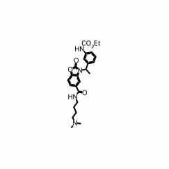 CCOC(=O)Nc1cccc(C(C)n2c(=O)oc3ccc(C(=O)NCCCCN(C)C)cc32)c1